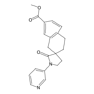 COC(=O)c1ccc2c(c1)CC1(CC2)CCN(c2cccnc2)C1=O